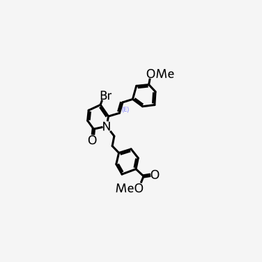 COC(=O)c1ccc(CCn2c(/C=C/c3cccc(OC)c3)c(Br)ccc2=O)cc1